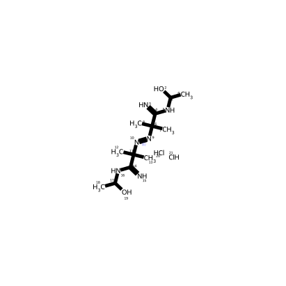 CC(O)NC(=N)C(C)(C)/N=N/C(C)(C)C(=N)NC(C)O.Cl.Cl